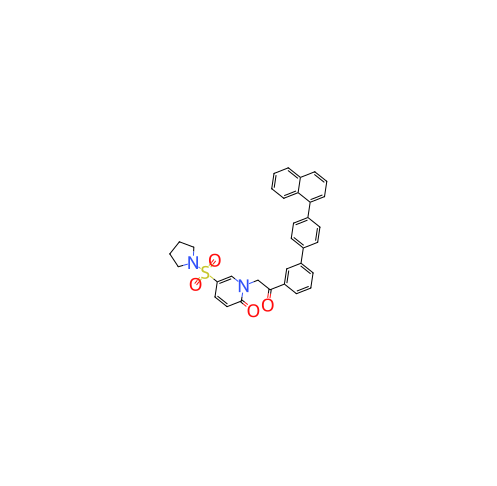 O=C(Cn1cc(S(=O)(=O)N2CCCC2)ccc1=O)c1cccc(-c2ccc(-c3cccc4ccccc34)cc2)c1